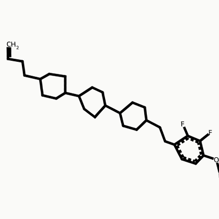 C=CCCC1CCC(C2CCC(C3CCC(CCc4ccc(OCC)c(F)c4F)CC3)CC2)CC1